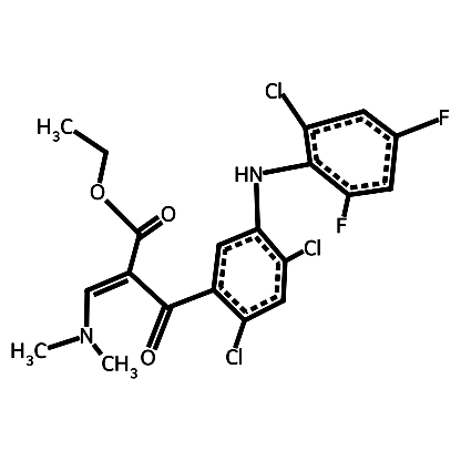 CCOC(=O)/C(=C/N(C)C)C(=O)c1cc(Nc2c(F)cc(F)cc2Cl)c(Cl)cc1Cl